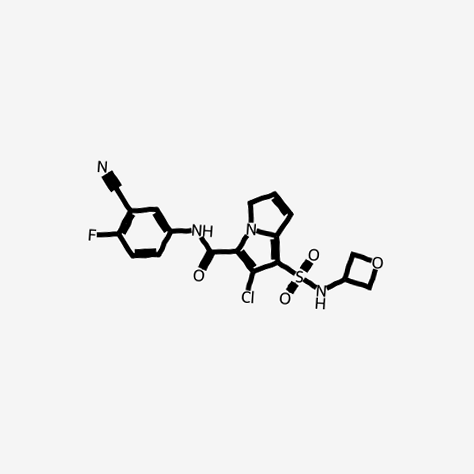 N#Cc1cc(NC(=O)c2c(Cl)c(S(=O)(=O)NC3COC3)c3n2CC=C3)ccc1F